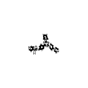 O=C(Nc1ccncc1)Nc1ccc(-c2nc(N3CCC(N4CCOCC4)CC3)nc(N3CC4CCC(C3)O4)n2)cc1